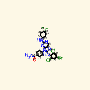 NC(=O)[C@H]1CC[C@@H](n2c(Nc3c(Cl)cc(Br)cc3Cl)nc3cnc(NC4CCC(F)(F)CC4)nc32)CC1